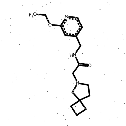 O=C(CN1CCC2(CCC2)C1)NCc1ccnc(OCC(F)(F)F)c1